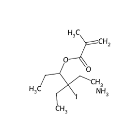 C=C(C)C(=O)OC(CC)C(I)(CC)CC.N